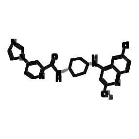 O=C(N[C@H]1CC[C@@H](Nc2cc(C(F)(F)F)nc3ccc(Cl)cc23)CC1)c1cc(-n2ccnc2)ccn1